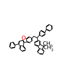 CC1(C)c2ccccc2-c2ccc(C(Cc3ccc4c(c3)oc3cc(-c5ccccc5)c5ccccc5c34)c3ccc(-c4ccccc4)cc3)cc21